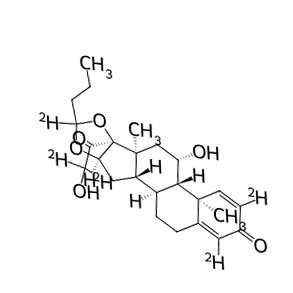 [2H]C1=C[C@@]2(C)C(=C([2H])C1=O)CC[C@@H]1[C@@H]2[C@@H](O)C[C@@]2(C)[C@H]1C[C@H]1OC([2H])(CCC)O[C@]12C(=O)C([2H])([2H])O